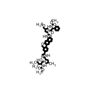 CCC(C)[C@H](NC(=O)OC)C(O)N1C[C@@H](C)CC1c1ncc(-c2ccc3c(c2)COc2cc4c(ccc5nc([C@@H]6CC(COC)CN6C(=O)C(NC(=O)OC)c6ccccc6)[nH]c54)cc2-3)[nH]1